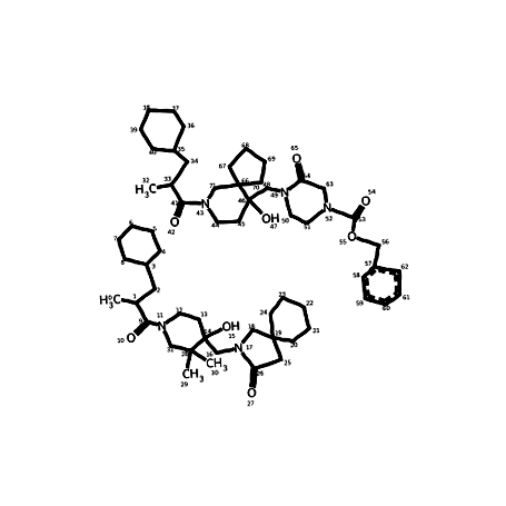 CC(CC1CCCCC1)C(=O)N1CCC(O)(CN2CC3(CCCCC3)CC2=O)C(C)(C)C1.CC(CC1CCCCC1)C(=O)N1CCC(O)(CN2CCN(C(=O)OCc3ccccc3)CC2=O)C2(CCCC2)C1